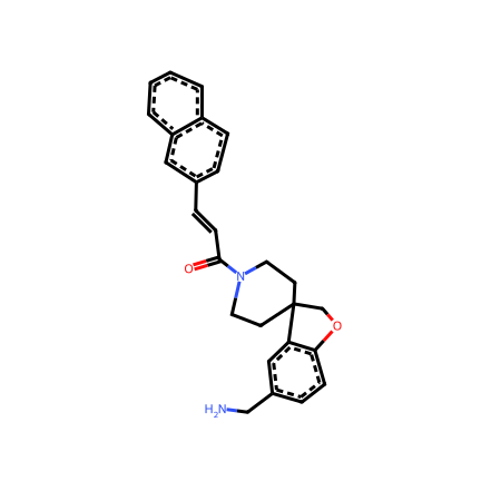 NCc1ccc2c(c1)C1(CCN(C(=O)C=Cc3ccc4ccccc4c3)CC1)CO2